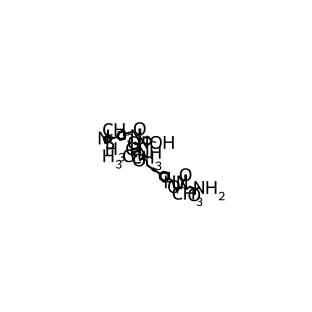 Cc1ncsc1-c1ccc(CNC(=O)[C@@H]2C[C@@H](O)CN2C(=O)[C@@H](NC(=O)CCC#Cc2ccc(CO[C@H](C)[C@H](CCC(N)=O)NC=O)cc2)C(C)(C)C)cc1